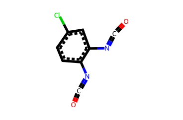 O=C=Nc1ccc(Cl)cc1N=C=O